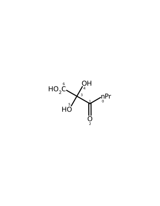 CCCC(=O)C(O)(O)C(=O)O